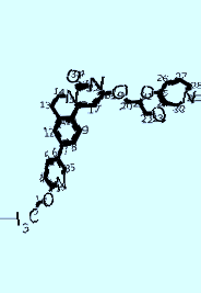 CCOc1ccc(-c2ccc3c(c2)CCn2c-3cc(OCC3COC4=C(C=CC=NC4)O3)nc2=O)cn1